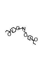 CCC(=O)N1CCC(OCCN(C)CCOC2CCN(C(=O)CC)CC2)CC1